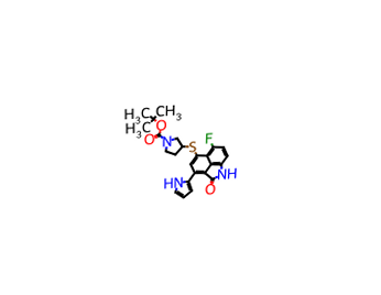 CC(C)(C)OC(=O)N1CCC(Sc2cc(-c3ccc[nH]3)c3c4c(ccc(F)c24)NC3=O)C1